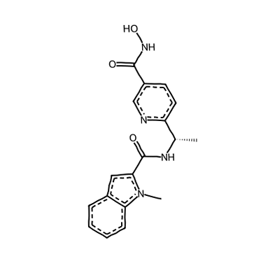 C[C@H](NC(=O)c1cc2ccccc2n1C)c1ccc(C(=O)NO)cn1